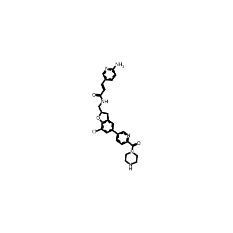 Nc1ccc(C=CC(=O)NCC2Cc3cc(-c4ccc(C(=O)N5CCNCC5)nc4)cc(Cl)c3O2)cn1